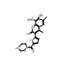 Cc1cc2c(C)c(-c3ccc(C(=O)N4CCOCC4)s3)c(=O)oc2c(C=O)c1O